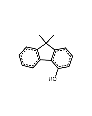 CC1(C)c2ccccc2-c2c(O)cccc21